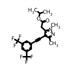 Cc1nn(C)c(CC(=O)OC(C)C)c1C#Cc1cc(C(F)(F)F)cc(C(F)(F)F)c1